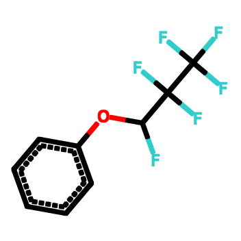 FC(Oc1ccccc1)C(F)(F)C(F)(F)F